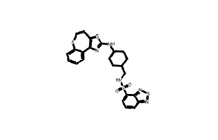 O=S(=O)(NCC1CCC(Nc2nc3c(s2)CCSc2ccccc2-3)CC1)c1cccc2nsnc12